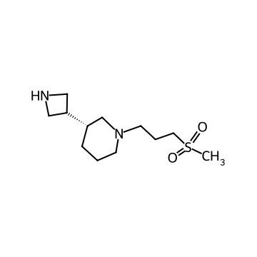 CS(=O)(=O)CCCN1CCC[C@H](C2CNC2)C1